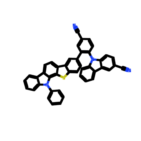 N#Cc1ccc(-n2c3ccccc3c3cc(C#N)ccc32)c(-c2ccc3sc4c(ccc5c6ccccc6n(-c6ccccc6)c54)c3c2)c1